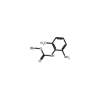 Cc1cccc(N)c1NC(=O)OC(C)(C)C